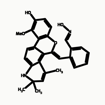 COc1c(O)ccc2c1-c1ccc3c(c1/C(=C/c1ccccc1/C=N/O)O2)C(C)=CC(C)(C)N3